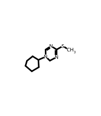 CSC1=NCN(C2CCCCC2)C=N1